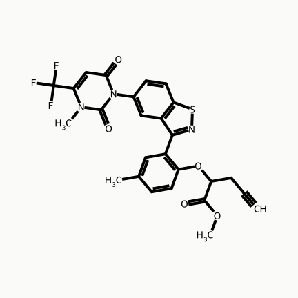 C#CCC(Oc1ccc(C)cc1-c1nsc2ccc(-n3c(=O)cc(C(F)(F)F)n(C)c3=O)cc12)C(=O)OC